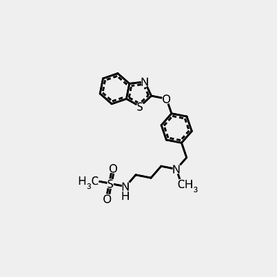 CN(CCCNS(C)(=O)=O)Cc1ccc(Oc2nc3ccccc3s2)cc1